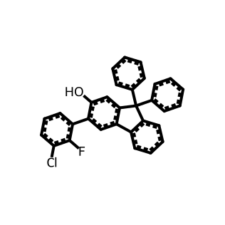 Oc1cc2c(cc1-c1cccc(Cl)c1F)-c1ccccc1C2(c1ccccc1)c1ccccc1